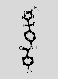 N#Cc1ccc(C(=O)Nc2ccc(C(F)(F)c3noc(C(F)(F)F)n3)cc2)cc1